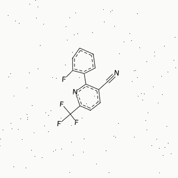 N#Cc1ccc(C(F)(F)F)nc1-c1ccccc1F